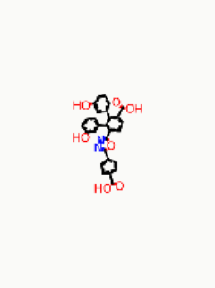 O=C(O)c1ccc(-c2nnc(-c3ccc(C(=O)O)c(-c4cccc(O)c4)c3-c3cccc(O)c3)o2)cc1